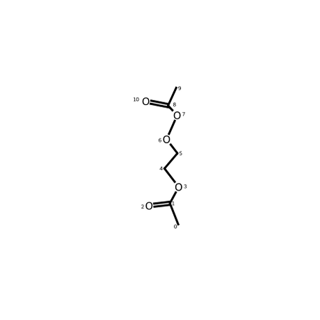 CC(=O)OCCOOC(C)=O